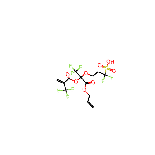 C=CCOC(=O)C(OCCC(F)(F)S(=O)(=O)O)(OC(=O)C(=C)C(F)(F)F)C(F)(F)F